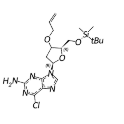 C=CCOC1C[C@H](n2cnc3c(Cl)nc(N)nc32)O[C@@H]1CO[Si](C)(C)C(C)(C)C